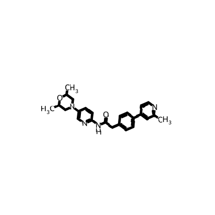 Cc1cc(-c2ccc(CC(=O)Nc3ccc(N4CC(C)OC(C)C4)cn3)cc2)ccn1